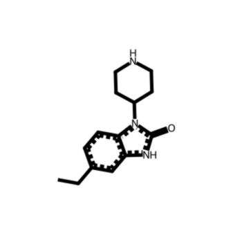 CCc1ccc2c(c1)[nH]c(=O)n2C1CCNCC1